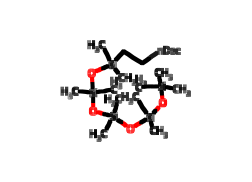 [CH2]CCCCCCCCCCC[Si](C)(C)O[Si](C)(C)O[Si](C)(C)O[Si](C)(C)O[Si](C)(C)C